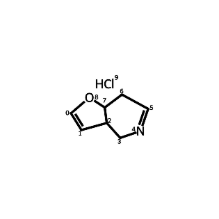 C1=CC2CN=CCC2O1.Cl